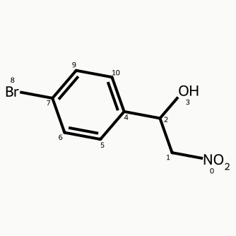 O=[N+]([O-])CC(O)c1ccc(Br)cc1